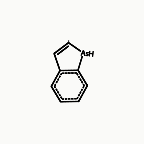 [C]1=Cc2ccccc2[AsH]1